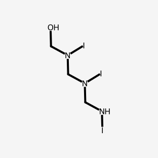 OCN(I)CN(I)CNI